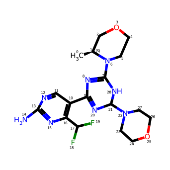 C[C@H]1COCCN1C1=NC(c2cnc(N)nc2C(F)F)=NC(N2CCOCC2)N1